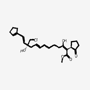 COC(=O)C(=C(O)CCCC/C=C/C[C@@](O)(/C=C/C1=CCCC1)CCl)[C@H]1CCCC1=O